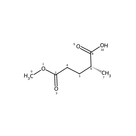 COC(=O)CC[C@@H](C)C(=O)O